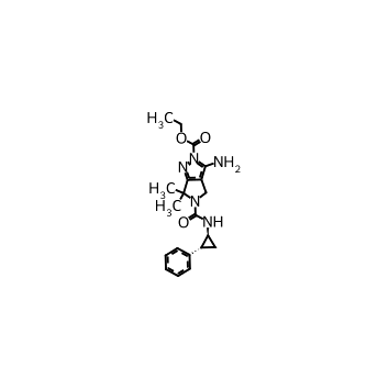 CCOC(=O)n1nc2c(c1N)CN(C(=O)N[C@H]1C[C@@H]1c1ccccc1)C2(C)C